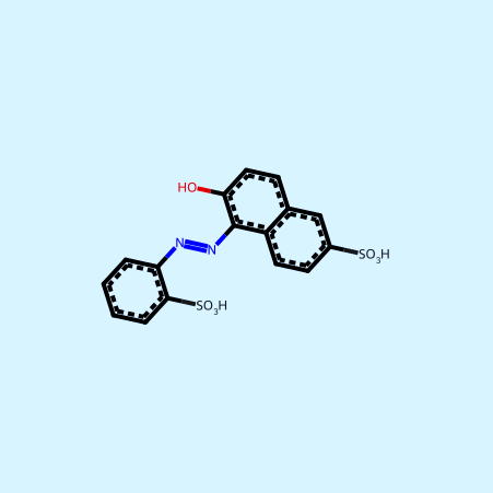 O=S(=O)(O)c1ccc2c(N=Nc3ccccc3S(=O)(=O)O)c(O)ccc2c1